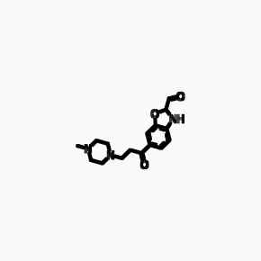 CN1CCN(CCC(=O)c2ccc3c(c2)OC(C=O)N3)CC1